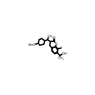 COC1CCC(C(C)C2Cc3ccc(C(C)O)c(F)c3OC2=O)CC1